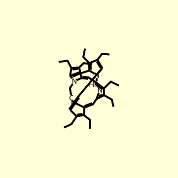 CCc1c(CC)c2cc3c(CC)c(CC)c4cc5c(CC)c(CC)c6cc7c(CC)c(CC)c(cc1n2CCn65)n7[pH]n34